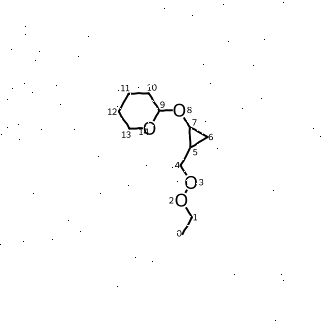 CCOOCC1CC1OC1CCCCO1